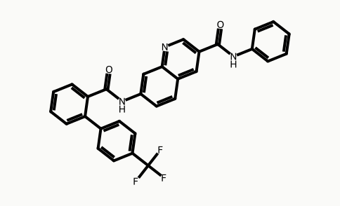 O=C(Nc1ccccc1)c1cnc2cc(NC(=O)c3ccccc3-c3ccc(C(F)(F)F)cc3)ccc2c1